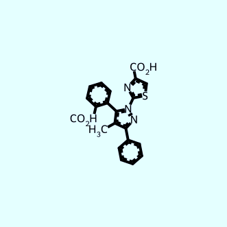 Cc1c(-c2ccccc2)nn(-c2nc(C(=O)O)cs2)c1-c1ccccc1C(=O)O